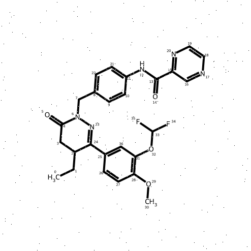 CCC1CC(=O)N(Cc2ccc(NC(=O)c3cnccn3)cc2)N=C1c1ccc(OC)c(OC(F)F)c1